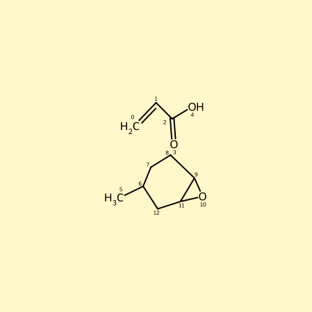 C=CC(=O)O.CC1CCC2OC2C1